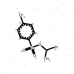 CC(C)C(C)OS(=O)(=O)c1ccc(C(F)(F)F)cc1